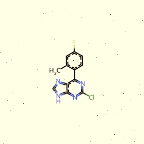 Cc1cc(F)ccc1-c1nc(Cl)nc2[nH]cnc12